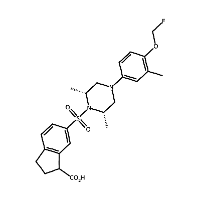 Cc1cc(N2C[C@@H](C)N(S(=O)(=O)c3ccc4c(c3)C(C(=O)O)CC4)[C@@H](C)C2)ccc1OCF